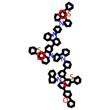 c1cc(-c2ccc(N(c3ccc(-c4ccc5c(c4)oc4ccccc45)cc3)c3cccc4ccccc34)c(-c3cccc4c3sc3ccccc34)c2)cc(-n2c3ccccc3c3cc(N(c4cc(-c5cccc6c5c5ccccc5n6-c5ccc(N(c6ccccc6-c6cccc7c6sc6ccccc67)c6cccc7ccccc67)cc5)ccc4-c4cccc5c4sc4ccccc45)c4cccc5ccccc45)ccc32)c1